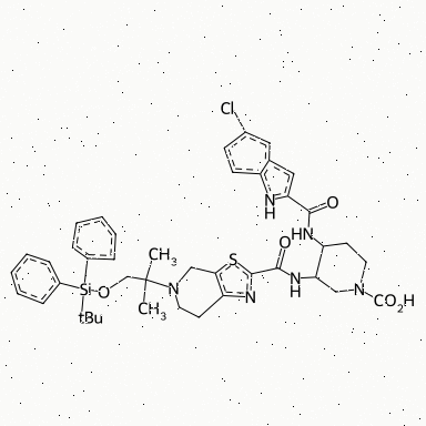 CC(C)(CO[Si](c1ccccc1)(c1ccccc1)C(C)(C)C)N1CCc2nc(C(=O)NC3CN(C(=O)O)CCC3NC(=O)c3cc4cc(Cl)ccc4[nH]3)sc2C1